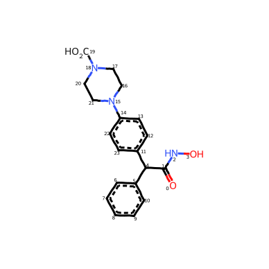 O=C(NO)C(c1ccccc1)c1ccc(N2CCN(C(=O)O)CC2)cc1